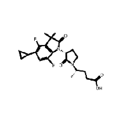 C[C@@H](CCC(=O)O)N1CC[C@@H](N2C(=O)C(C)(C)c3c(F)c(C4CC4)cc(F)c32)C1=O